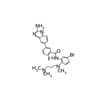 CN(C)CCCN(C)c1ccc(Br)cc1NC(=O)c1cc(-c2ccc3nc(N)ncc3c2)ccc1F